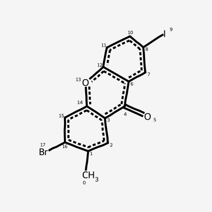 Cc1cc2c(=O)c3cc(I)ccc3oc2cc1Br